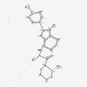 CCC(Nc1ncnc2c1nc(-c1cnc(C)nc1)n2CC)C(=O)N1CCOC[C@H]1C